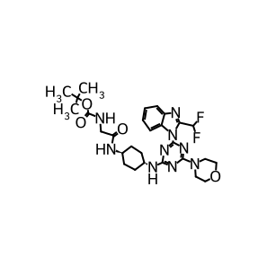 CC(C)(C)OC(=O)NCC(=O)N[C@H]1CC[C@H](Nc2nc(N3CCOCC3)nc(-n3c(C(F)F)nc4ccccc43)n2)CC1